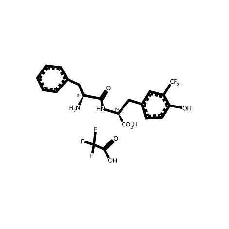 N[C@@H](Cc1ccccc1)C(=O)N[C@@H](Cc1ccc(O)c(C(F)(F)F)c1)C(=O)O.O=C(O)C(F)(F)F